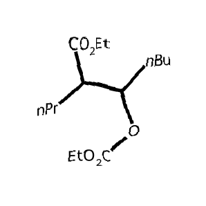 CCCCC(OC(=O)OCC)C(CCC)C(=O)OCC